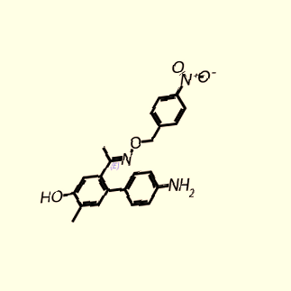 C/C(=N\OCc1ccc([N+](=O)[O-])cc1)c1cc(O)c(C)cc1-c1ccc(N)cc1